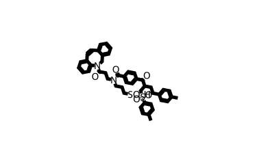 Cc1ccc(CCC(CS(=O)(=O)c2ccc(C)cc2)C(=O)c2ccc(C(=O)N(CCCS(=O)(=O)O)CCC(=O)N3Cc4ccccc4C#Cc4ccccc43)cc2)cc1